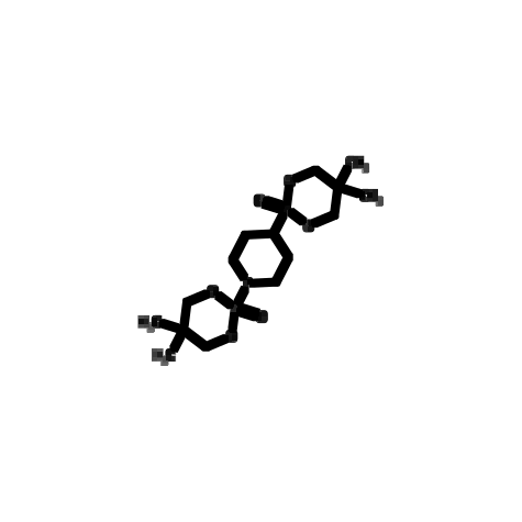 CC1(C)COP(=O)(C2CCP(P3(=O)OCC(C)(C)CO3)CC2)OC1